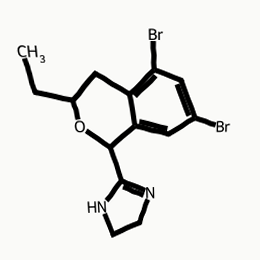 CCC1Cc2c(Br)cc(Br)cc2C(C2=NCCN2)O1